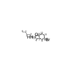 CCCCNc1cc2cc(Br)ccc2o1